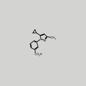 Cc1cc(C2CC2)n(-c2cccc(C(=O)O)c2)n1